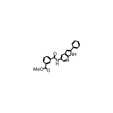 COC(=O)c1cccc(C(=O)Nc2cnc3[nH]c(-c4ccccc4)cc3c2)c1